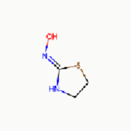 O/N=C1/NCCS1